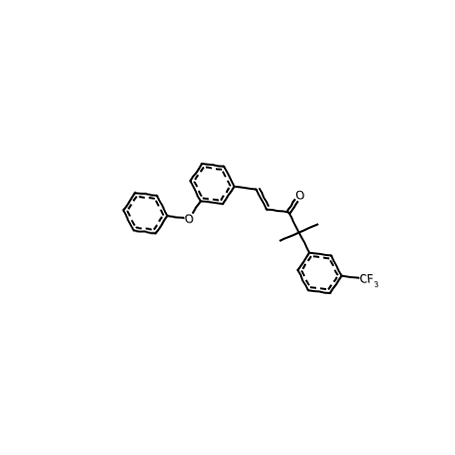 CC(C)(C(=O)/C=C/c1cccc(Oc2ccccc2)c1)c1cccc(C(F)(F)F)c1